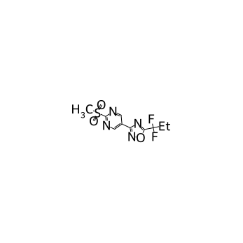 CCC(F)(F)c1nc(-c2cnc(S(C)(=O)=O)nc2)no1